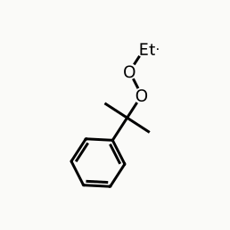 C[CH]OOC(C)(C)c1ccccc1